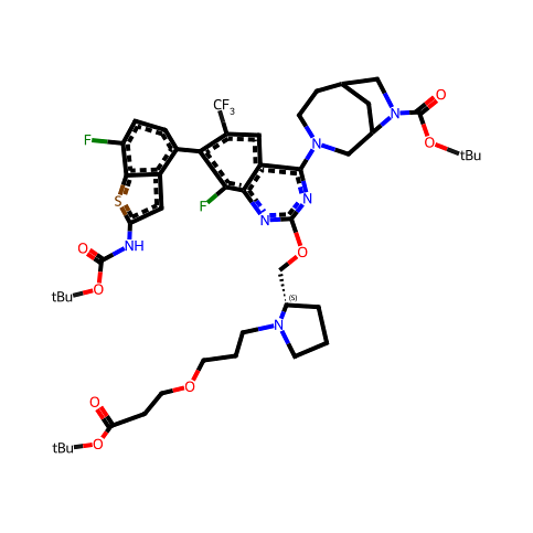 CC(C)(C)OC(=O)CCOCCCN1CCC[C@H]1COc1nc(N2CCC3CC(C2)N(C(=O)OC(C)(C)C)C3)c2cc(C(F)(F)F)c(-c3ccc(F)c4sc(NC(=O)OC(C)(C)C)cc34)c(F)c2n1